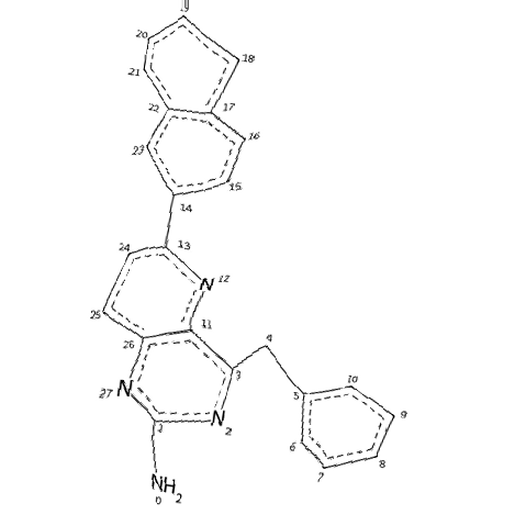 Nc1nc(Cc2ccccc2)c2nc(-c3ccc4ccccc4c3)ccc2n1